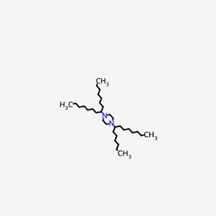 CCCCCCCC(CCCCCC)N1CCN(C(CCCCCCC)CCCCCCC)CC1